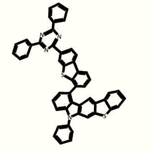 c1ccc(-c2nc(-c3ccccc3)nc(-c3ccc4c(c3)sc3c(-c5cccc6c5c5cc7c(cc5n6-c5ccccc5)sc5ccccc57)cccc34)n2)cc1